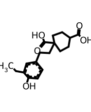 CCc1cc(CCC2(C(=O)O)CCC(C(=O)O)CC2)ccc1O